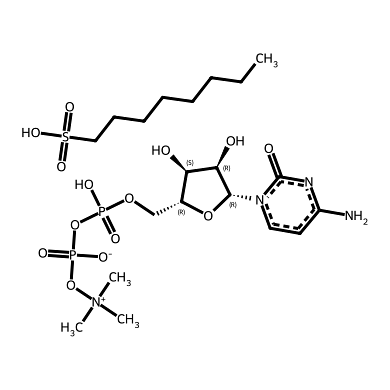 CCCCCCCCS(=O)(=O)O.C[N+](C)(C)OP(=O)([O-])OP(=O)(O)OC[C@H]1O[C@@H](n2ccc(N)nc2=O)[C@H](O)[C@@H]1O